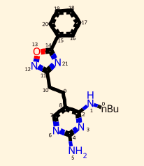 CCCCNc1nc(N)ncc1CCc1noc(-c2ccccc2)n1